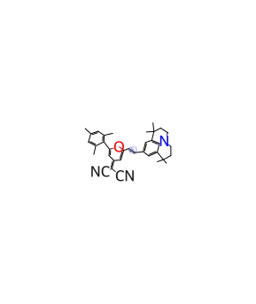 Cc1cc(C)c(C2=CC(=C(C#N)C#N)C=C(/C=C/c3cc4c5c(c3)C(C)(C)CCN5CCC4(C)C)O2)c(C)c1